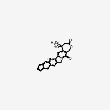 CCC1(O)CC(=O)OCc2c1cc1n(c2=O)Cc2cc3cc4cccc4cc3[nH]c2-1